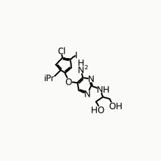 CC(C)c1cc(Cl)c(I)cc1Oc1cnc(NC(CO)CO)nc1N